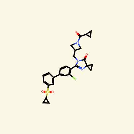 O=C(C1CC1)N1CC(CN2C(=O)C3(CC3)N=C2c2ccc(-c3cccc(S(=O)(=O)C4CC4)c3)cc2F)C1